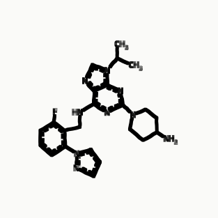 CC(C)n1cnc2c(NCc3c(F)cccc3-n3cccn3)nc(N3CCC(N)CC3)nc21